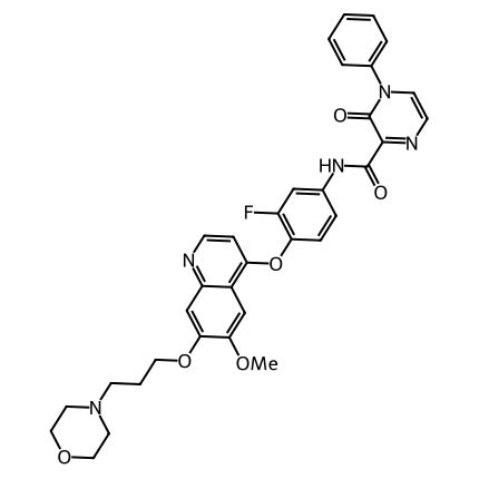 COc1cc2c(Oc3ccc(NC(=O)c4nccn(-c5ccccc5)c4=O)cc3F)ccnc2cc1OCCCN1CCOCC1